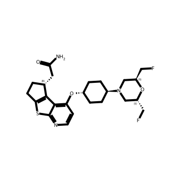 NC(=O)C[C@H]1CCc2sc3nccc(O[C@H]4CC[C@H](N5C[C@@H](CF)O[C@H](CF)C5)CC4)c3c21